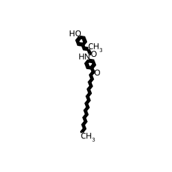 CCCCCCCCCCCCCCCCCCC(=O)c1ccc(NC(=O)C(C)=Cc2ccc(O)cc2)cc1